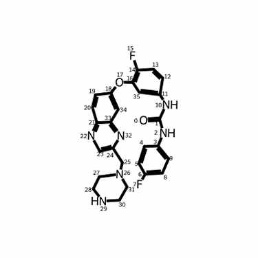 O=C(Nc1ccc(F)cc1)Nc1ccc(F)c(Oc2ccc3ncc(CN4CCNCC4)nc3c2)c1